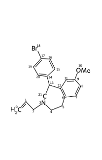 C=CCN1CCc2ccc(OC)cc2C(c2ccc(Br)cc2)C1